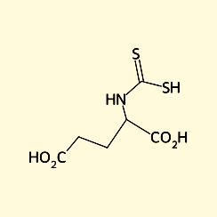 O=C(O)CCC(NC(=S)S)C(=O)O